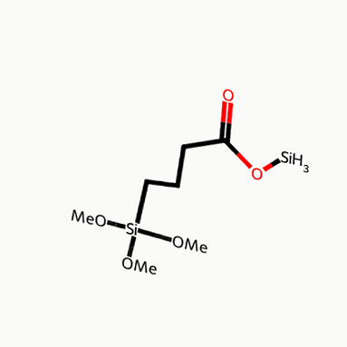 CO[Si](CCCC(=O)O[SiH3])(OC)OC